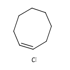 C1=CCCCCCC1.[C]